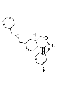 O=C1N[C@@]2(c3ccc(F)cc3F)CO[C@@H](COCc3ccccc3)C[C@H]2CO1